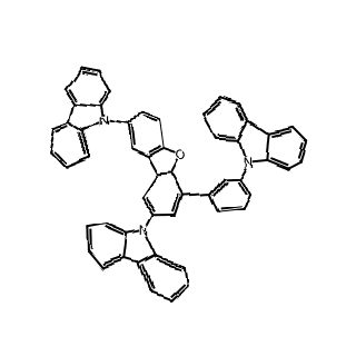 C1=C(c2cccc(-n3c4ccccc4c4ccccc43)c2)C2Oc3ccc(-n4c5ccccc5c5ccccc54)cc3C2C=C1n1c2ccccc2c2ccccc21